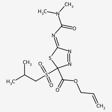 C=CCOC(=O)C1(S(=O)(=O)CC(C)C)N=NC(=NC(=O)N(C)C)S1